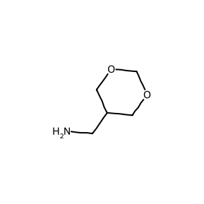 NCC1COCOC1